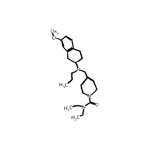 CCCN(CC1CCN(C(=O)N(CC)CC)CC1)C1CCc2ccc(OC)cc2C1